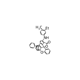 CCc1cc(Nc2ccc(Nc3ccccc3)c3c2C(=O)OC32c3ccccc3Oc3ccccc32)ccc1C